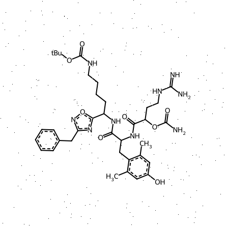 Cc1cc(O)cc(C)c1CC(NC(=O)C(CCNC(=N)N)OC(N)=O)C(=O)NC(CCCCNC(=O)OC(C)(C)C)c1nc(Cc2ccccc2)no1